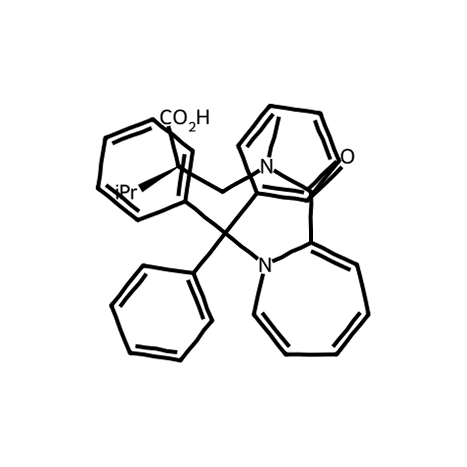 CC(C)[C@H](CN(C)C(=O)C1=CC=CC=CN1C(c1ccccc1)(c1ccccc1)c1ccccc1)C(=O)O